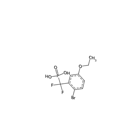 CCOc1ccc(Br)c(C(F)(F)P(=O)(O)O)c1